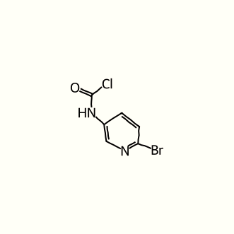 O=C(Cl)Nc1ccc(Br)nc1